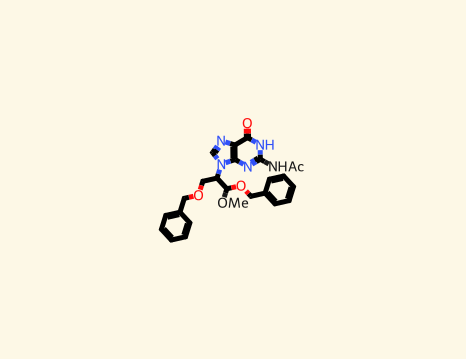 COC(OCc1ccccc1)C(COCc1ccccc1)n1cnc2c(=O)[nH]c(NC(C)=O)nc21